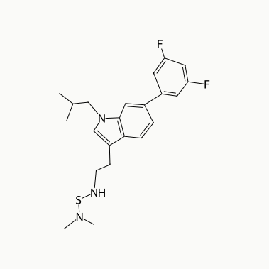 CC(C)Cn1cc(CCNSN(C)C)c2ccc(-c3cc(F)cc(F)c3)cc21